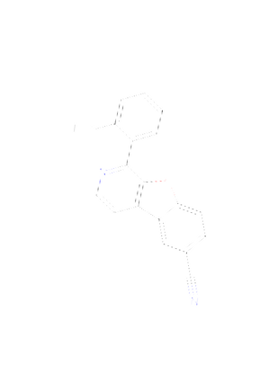 Cc1ccccc1-c1nccc2c1oc1ccc(C#N)cc12